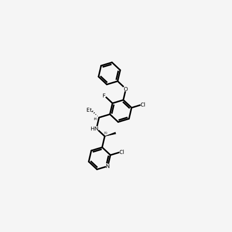 CC[C@@H](N[C@@H](C)c1cccnc1Cl)c1ccc(Cl)c(Oc2ccccc2)c1F